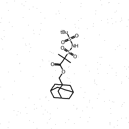 CC(C)(C)S(=O)(=O)NS(=O)(=O)C(C)(C)C(=O)OCC12CC3CC(CC(C3)C1)C2